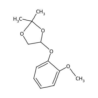 COc1ccccc1OC1COC(C)(C)O1